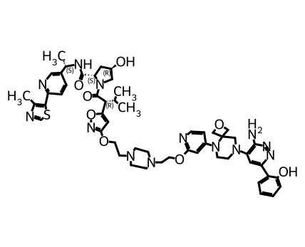 Cc1ncsc1-c1ccc([C@H](C)NC(=O)[C@@H]2C[C@@H](O)CN2C(=O)[C@@H](c2cc(OCCN3CCN(CCOc4cc(N5CCN(c6cc(-c7ccccc7O)nnc6N)CC56COC6)ccn4)CC3)no2)C(C)C)cn1